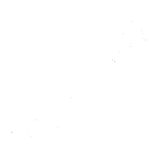 O=C(Nc1ccc2[nH]cnc2c1)OCCCN1CCC(C(=O)c2ccc(Br)cc2)CC1